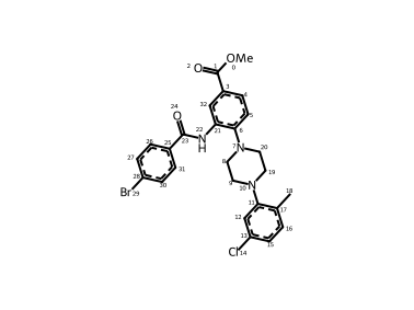 COC(=O)c1ccc(N2CCN(c3cc(Cl)ccc3C)CC2)c(NC(=O)c2ccc(Br)cc2)c1